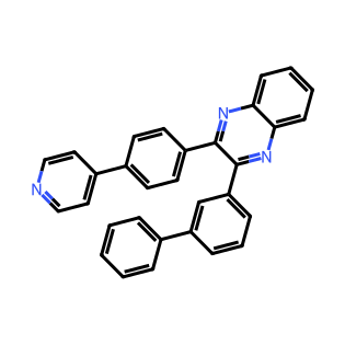 c1ccc(-c2cccc(-c3nc4ccccc4nc3-c3ccc(-c4ccncc4)cc3)c2)cc1